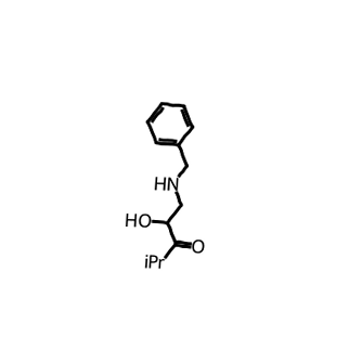 CC(C)C(=O)C(O)CNCc1ccccc1